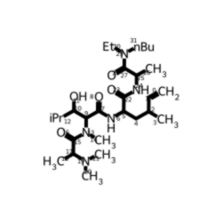 C=CC(C)CC(NC(=O)C(C(O)C(C)C)N(C)C(=O)C(C)N(C)C)C(=O)NC(C)C(=O)N(CC)CCCC